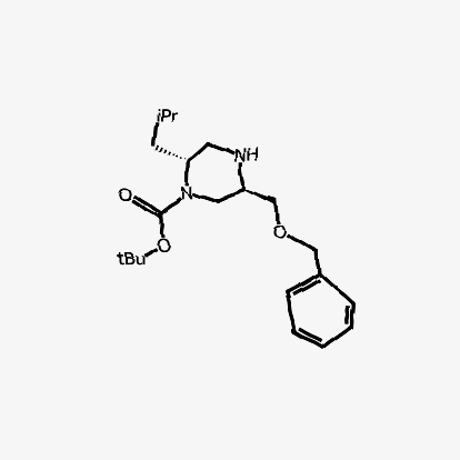 CC(C)C[C@@H]1CN[C@@H](COCc2ccccc2)CN1C(=O)OC(C)(C)C